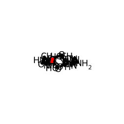 Cc1nc2c(nnn2[C@@H]2O[C@@H]3CO[P@](=O)(S)O[C@H]4[C@@H](O)[C@H](n5cnc6c(N)ncnc65)[C@H]5C[C@]54COP(=O)(O)O[C@@H]2[C@@H]3O)c(=O)[nH]1